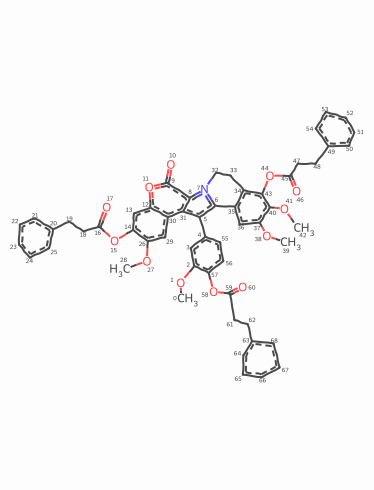 COc1cc(-c2c3n(c4c(=O)oc5cc(OC(=O)CCc6ccccc6)c(OC)cc5c24)CCc2c-3cc(OC)c(OC)c2OC(=O)CCc2ccccc2)ccc1OC(=O)CCc1ccccc1